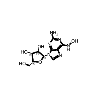 Nc1nc(NO)c2ncn([C@@H]3O[C@H](CO)[C@@H](O)[C@H]3O)c2n1